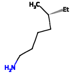 CC[C@@H](C)CCCCN